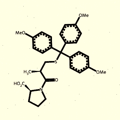 COc1ccc(C(SC[C@H](C)C(=O)N2CCC[C@H]2C(=O)O)(c2ccc(OC)cc2)c2ccc(OC)cc2)cc1